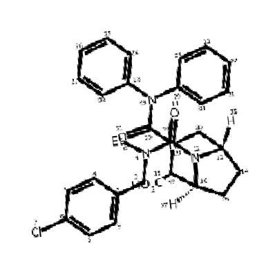 CCN(Cc1ccc(Cl)cc1)C(=O)N1[C@H]2CC[C@H]1[C@@H](C(=O)O)N(C(=O)N(c1ccccc1)c1ccccc1)C2